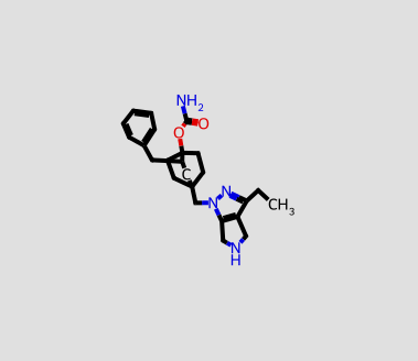 CCc1nn(CC23CCC(OC(N)=O)(CC2)C(Cc2ccccc2)C3)c2c1CNC2